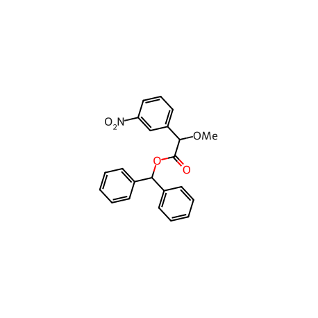 COC(C(=O)OC(c1ccccc1)c1ccccc1)c1cccc([N+](=O)[O-])c1